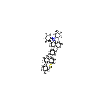 c1ccc(-n2c3ccccc3c3cc(-c4ccc(-c5ccc6c7c(cccc57)-c5ccccc5S6)cc4)c4ccccc4c32)cc1